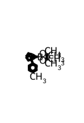 Cc1ccc(C2C3CC4C(C3)C42B2OC(C)(C)C(C)(C)O2)cc1